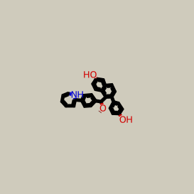 COC(c1ccc(C2=CC=CC=CN2)cc1)c1c(-c2ccc(O)cc2)ccc2cc(O)ccc12